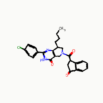 CCCCC1CN(C(=O)C2CC(=O)c3ccccc32)Cc2c1nc(-c1ccc(Cl)cc1)[nH]c2=O